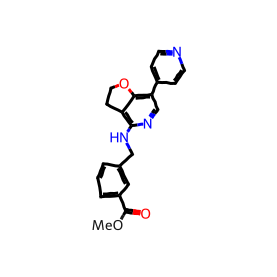 COC(=O)c1cccc(CNc2ncc(-c3ccncc3)c3c2CCO3)c1